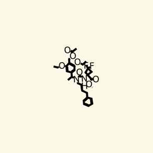 CCOc1cc(C(C)N(CCCCc2ccccc2)C(=O)NC2(C(=O)OC)CC(F)(F)C2)cc(OCC)c1COC(C)=O